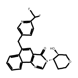 O=c1c2cc(Cc3ccc(C(F)F)nc3)c3ccccc3c2ncn1[C@H]1CCOC[C@@H]1O